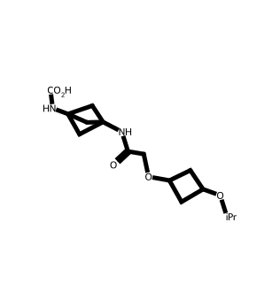 CC(C)OC1CC(OCC(=O)NC23CC(NC(=O)O)(C2)C3)C1